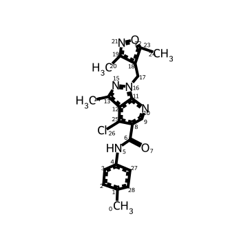 Cc1ccc(NC(=O)c2cnc3c(c(C)nn3Cc3c(C)noc3C)c2Cl)cc1